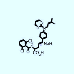 CC(C)=CCN(c1ccc(/C=C/CC(NC(=O)c2c(Cl)cccc2Cl)C(=O)O)cc1)c1ncccn1.[NaH]